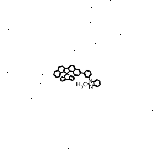 Cc1nc2ccccc2n1-c1cccc(-c2ccc3c4c(ccc3c2)-c2ccc3ccccc3c2C42c3ccccc3-c3ccccc32)c1